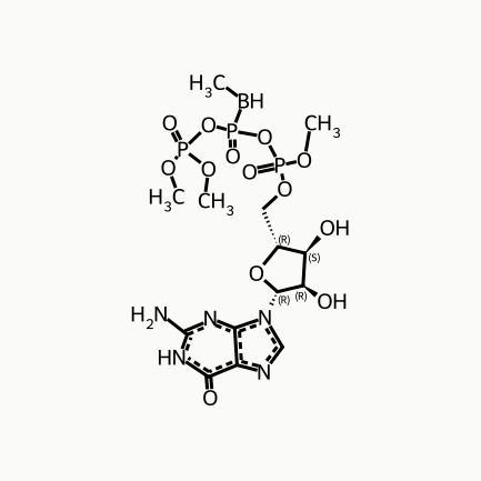 CBP(=O)(OP(=O)(OC)OC)OP(=O)(OC)OC[C@H]1O[C@@H](n2cnc3c(=O)[nH]c(N)nc32)[C@H](O)[C@@H]1O